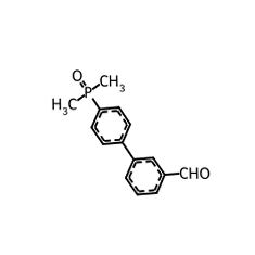 CP(C)(=O)c1ccc(-c2cccc(C=O)c2)cc1